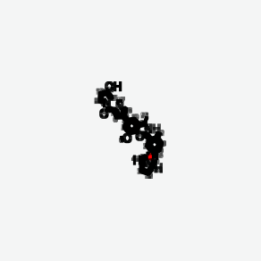 COc1cc(-c2cc(C(=O)N3CC[C@H](O)C3)n(C)c2)cc([C@@H](C)NC(=O)c2cc(N3C[C@H]4CC[C@@H](C3)N4CI)ccc2C)c1